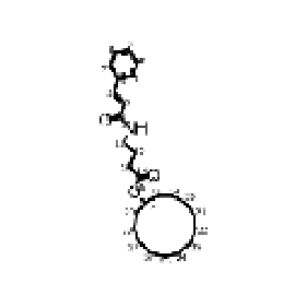 O=C(/C=C/c1ccccc1)NCCCC(=O)OC1CCCCCCCCCCCC1